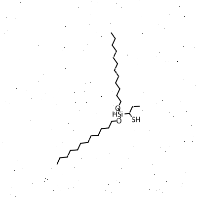 CCCCCCCCCCCCO[SiH](OCCCCCCCCCCCC)C(S)CC